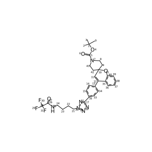 CC(C)(C)OC(=O)N1CCC2(C=C(c3ccc(-c4nnn(CCCCNC(=O)C(F)(F)F)n4)cc3)c3ccccc3O2)CC1